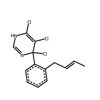 C/C=C/Cc1ccccc1C1(Cl)N=CNC(Cl)=C1Cl